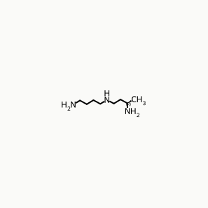 C[C@@H](N)CCNCCCCN